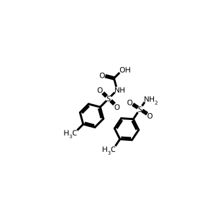 Cc1ccc(S(=O)(=O)NC(=O)O)cc1.Cc1ccc(S(N)(=O)=O)cc1